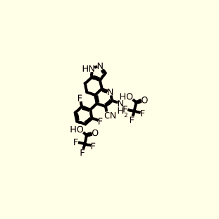 N#Cc1c(N)nc2c(c1-c1c(F)cccc1F)CCc1[nH]ncc1-2.O=C(O)C(F)(F)F.O=C(O)C(F)(F)F